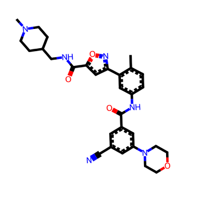 Cc1ccc(NC(=O)c2cc(C#N)cc(N3CCOCC3)c2)cc1-c1cc(C(=O)NCC2CCN(C)CC2)on1